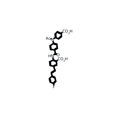 CC(=O)N(c1ccc(C(=O)O)cc1)c1ccc(C(=O)Nc2ccc(/C=C/c3ccc(F)cc3)cc2C(=O)O)cc1